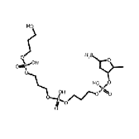 BC1CC(OP(=O)(O)OCCCOP(=O)(O)OCCCOP(=O)(O)OCCCO)C(C)O1